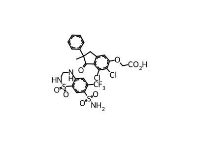 CC1(c2ccccc2)Cc2cc(OCC(=O)O)c(Cl)c(Cl)c2C1=O.NS(=O)(=O)c1cc2c(cc1C(F)(F)F)NCNS2(=O)=O